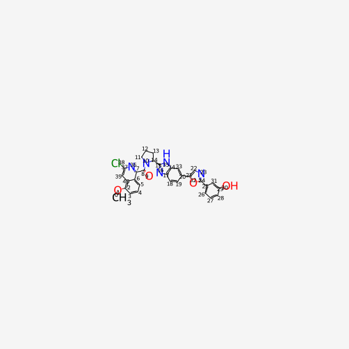 COc1cccc2c(C(=O)N3CCC[C@H]3c3nc4ccc(-c5cnc(-c6cccc(O)c6)o5)cc4[nH]3)nc(Cl)cc12